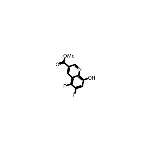 COC(=O)c1cnc2c(O)cc(F)c(F)c2c1